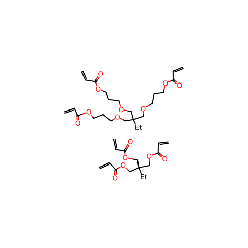 C=CC(=O)OCC(CC)(COC(=O)C=C)COC(=O)C=C.C=CC(=O)OCCCOCC(CC)(COCCCOC(=O)C=C)COCCCOC(=O)C=C